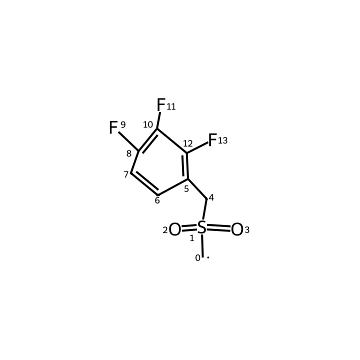 [CH2]S(=O)(=O)Cc1ccc(F)c(F)c1F